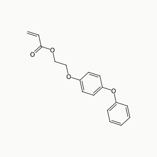 C=CC(=O)OCCOc1ccc(Oc2ccccc2)cc1